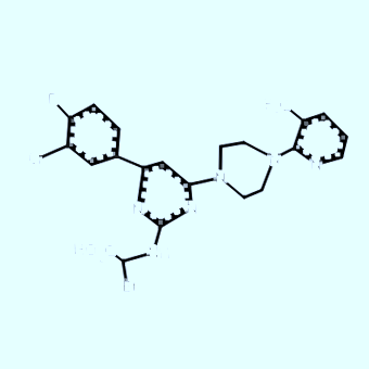 CCC(Nc1nc(-c2ccc(F)c(Cl)c2)cc(N2CCN(c3ncccc3C(F)(F)F)CC2)n1)C(=O)O